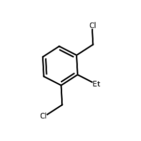 CCc1c(CCl)cccc1CCl